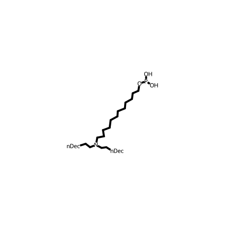 CCCCCCCCCCCCN(CCCCCCCCCCCC)CCCCCCCCCCCCOP(O)O